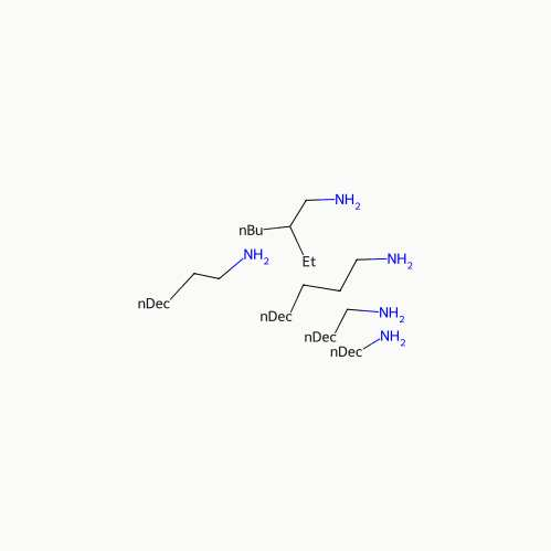 CCCCC(CC)CN.CCCCCCCCCCCCCN.CCCCCCCCCCCCN.CCCCCCCCCCCN.CCCCCCCCCCN